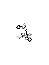 CC(C)(C)OC(=O)C(c1ccccc1)C(O)CCCCN(C=O)OCc1ccccc1